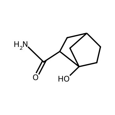 NC(=O)C1CC2CCC1(O)C2